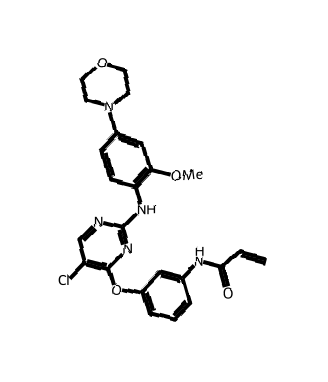 C=CC(=O)Nc1cccc(Oc2nc(Nc3ccc(N4CCOCC4)cc3OC)ncc2Cl)c1